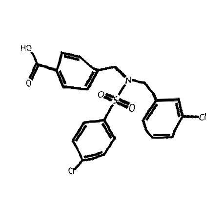 O=C(O)c1ccc(CN(Cc2cccc(Cl)c2)S(=O)(=O)c2ccc(Cl)cc2)cc1